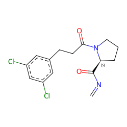 C=NC(=O)[C@@H]1CCCN1C(=O)CCc1cc(Cl)cc(Cl)c1